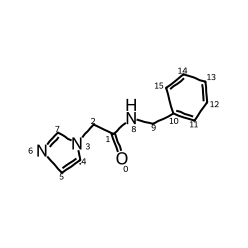 O=C(Cn1[c]cnc1)NCc1ccccc1